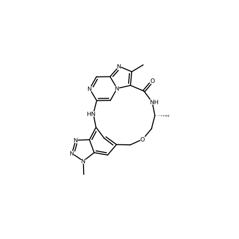 Cc1nc2cnc3cn2c1C(=O)N[C@H](C)COCc1cc(c2nnn(C)c2c1)N3